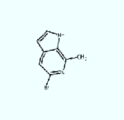 Cc1nc(Br)cc2cc[nH]c12